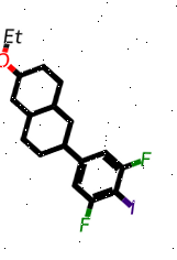 CCOC1CCC2CC(c3cc(F)c(I)c(F)c3)CCC2C1